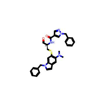 CN(C)c1cc2ccn(Cc3ccccc3)c2cc1SC[C@@H](C=O)NC(=O)c1cnn(Cc2ccccc2)c1